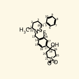 C[C@H]1CC[C@H](c2ccccc2)SN1Cc1ccc(C2(O)CCS(=O)(=O)CC2)cc1F